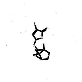 CC1(C)C2CCC1(C)C(OC1C=C(Br)C(=O)O1)C2